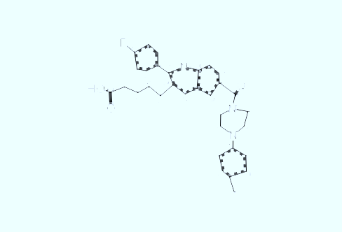 Cc1ccc(N2CCN(C(=O)c3ccc4nc(-c5ccc(F)cc5)c(CCCCC(=O)O)cc4c3)CC2)cc1